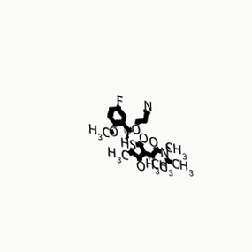 COc1ccc(F)cc1[C@H](C[SH]1C(=O)C([C@@H](C)C(=O)N(C)C(C)C)C(=O)C1C)OCCC#N